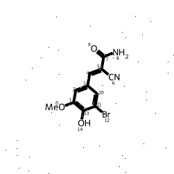 COc1cc(/C=C(\C#N)C(N)=O)cc(Br)c1O